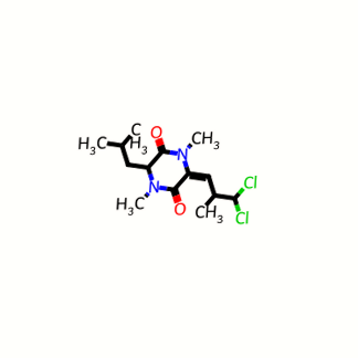 CC(C)CC1C(=O)N(C)/C(=C/C(C)C(Cl)Cl)C(=O)N1C